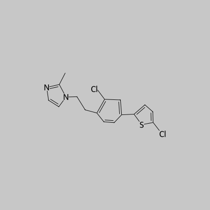 Cc1nccn1CCc1ccc(-c2ccc(Cl)s2)cc1Cl